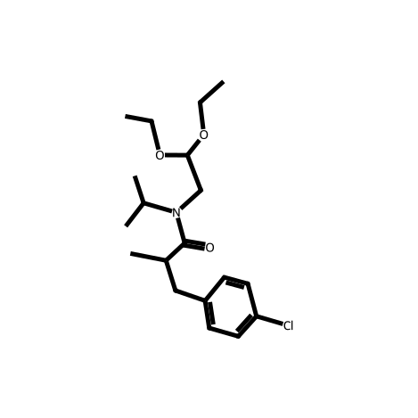 CCOC(CN(C(=O)C(C)Cc1ccc(Cl)cc1)C(C)C)OCC